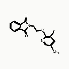 O=C1c2ccccc2C(=O)N1CCOc1ncc(C(F)(F)F)cc1F